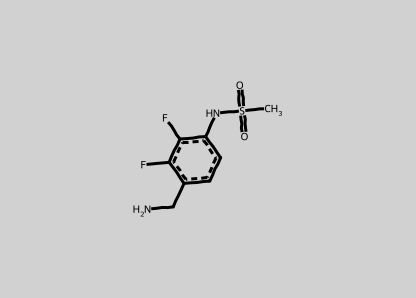 CS(=O)(=O)Nc1ccc(CN)c(F)c1F